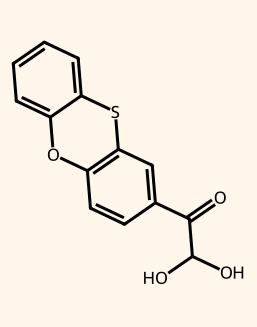 O=C(c1ccc2c(c1)Sc1ccccc1O2)C(O)O